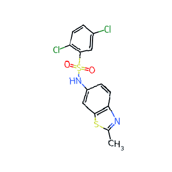 Cc1nc2ccc(NS(=O)(=O)c3cc(Cl)ccc3Cl)cc2s1